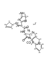 Nc1nc(C(=NOC2C=CCC2)C(=O)NC2C(=O)N3C(C(=O)O)=C(C[n+]4ccccc4)CS[C@H]23)ns1.[I-]